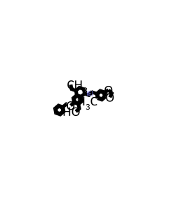 CCC1CCC(/C=C/c2cc3c(cc2C)OCO3)c2cc(CO)c(OCc3ccccc3)cc21